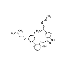 C=N/C=N\C=C(/C)c1ccc2[nH]nc(-c3nc4c(-c5cc(F)cc(OCCN(C)C)c5)nccc4[nH]3)c2c1